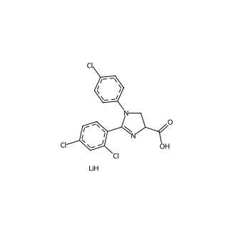 O=C(O)C1CN(c2ccc(Cl)cc2)C(c2ccc(Cl)cc2Cl)=N1.[LiH]